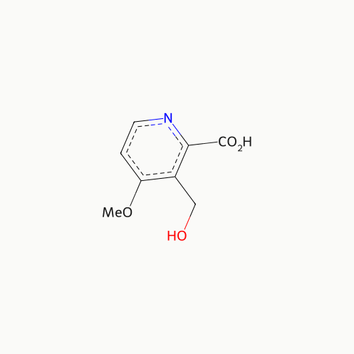 COc1ccnc(C(=O)O)c1CO